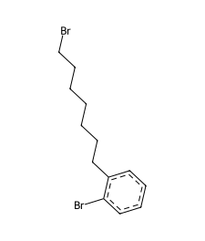 BrCCCCCCCc1ccccc1Br